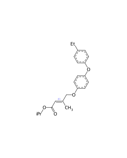 CCc1ccc(Oc2ccc(OC/C(C)=C/C(=O)OC(C)C)cc2)cc1